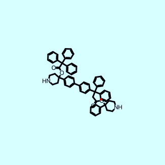 O=C(CC(c1ccccc1)(c1ccccc1)c1ccc(-c2ccc(C3(OC(=O)C(c4ccccc4)(c4ccccc4)c4ccccc4)CCNCC3)cc2)cc1)OC1(c2ccccc2)CCNCC1